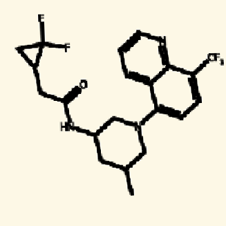 CC1CC(NC(=O)CC2CC2(F)F)CN(c2ccc(C(F)(F)F)c3ncccc23)C1